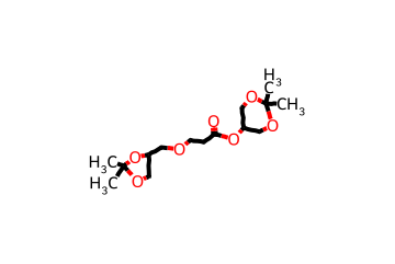 CC1(C)OCC(OC(=O)CCOCC2COC(C)(C)O2)CO1